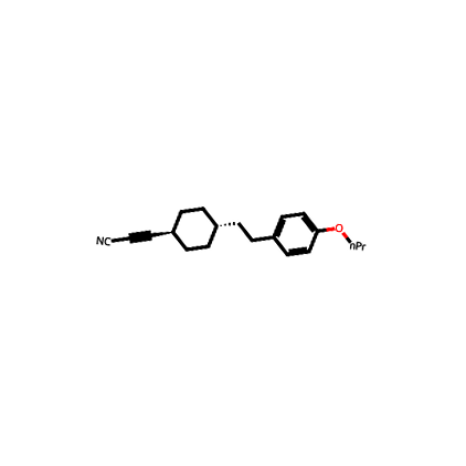 CCCOc1ccc(CC[C@H]2CC[C@H](C#CC#N)CC2)cc1